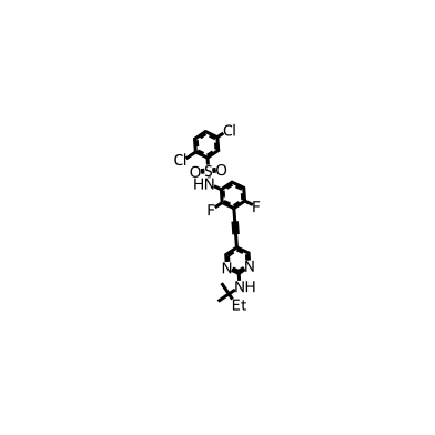 CCC(C)(C)Nc1ncc(C#Cc2c(F)ccc(NS(=O)(=O)c3cc(Cl)ccc3Cl)c2F)cn1